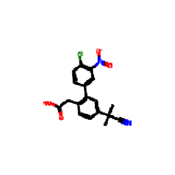 CC(C)(C#N)c1ccc(CC(=O)O)c(-c2ccc(Cl)c([N+](=O)[O-])c2)c1